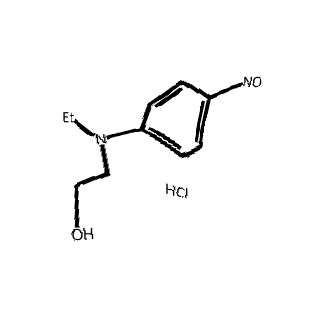 CCN(CCO)c1ccc(N=O)cc1.Cl